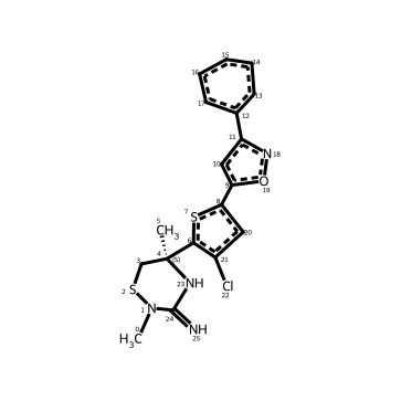 CN1SC[C@@](C)(c2sc(-c3cc(-c4ccccc4)no3)cc2Cl)NC1=N